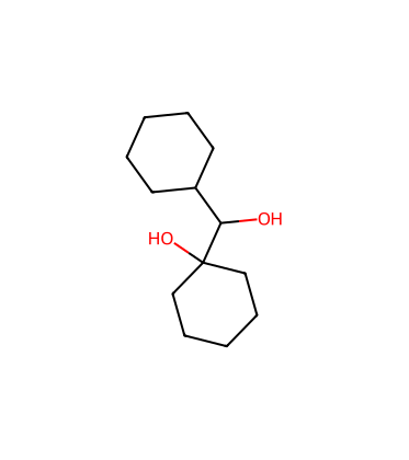 OC(C1CCCCC1)C1(O)CCCCC1